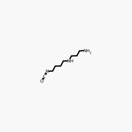 NCCCNCCCCN=C=O